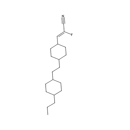 CCCC1CCC(CCC2CCC(C=C(F)C#N)CC2)CC1